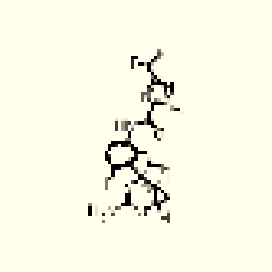 Cn1nc(C(F)F)nc1C(=O)Nc1ccc(F)c([C@@]2(C(F)F)N=C(N)O[C@@H]3C[C@@H]32)c1